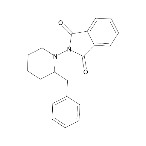 O=C1c2ccccc2C(=O)N1N1CCCCC1Cc1ccccc1